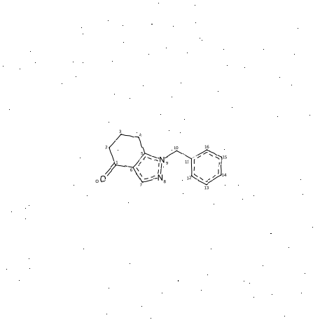 O=C1CCCc2c1cnn2Cc1ccccc1